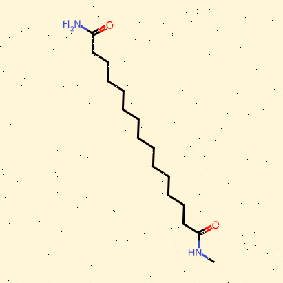 CNC(=O)CCCCCCCCCCCCCC(N)=O